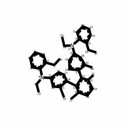 CCc1ccccc1N(CC)c1ccc(-c2c(C)ccc(C)c2-c2ccc(N(CC)c3ccccc3CC)cc2C)c(C)c1